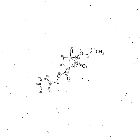 C=CCON1C(=O)N2C[C@@H]1CC[C@@H]2C(=O)OCc1ccccc1